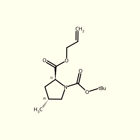 C=CCOC(=O)[C@@H]1C[C@@H](C)CN1C(=O)OC(C)(C)C